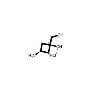 Cl.N[C@H]1C[C@](O)(CO)C1